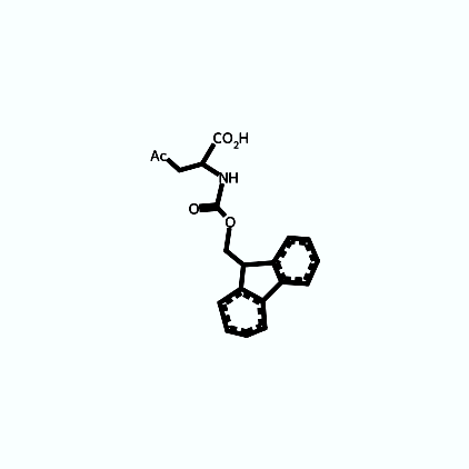 CC(=O)CC(NC(=O)OCC1c2ccccc2-c2ccccc21)C(=O)O